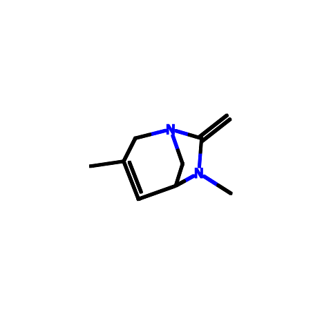 C=C1N2CC(C)=CC(C2)N1C